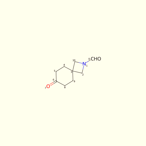 O=CN1CC2(CCC(=O)CC2)C1